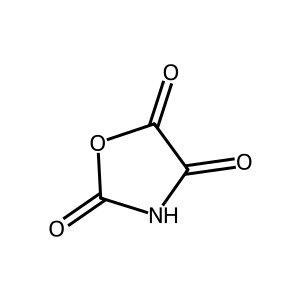 O=C1NC(=O)C(=O)O1